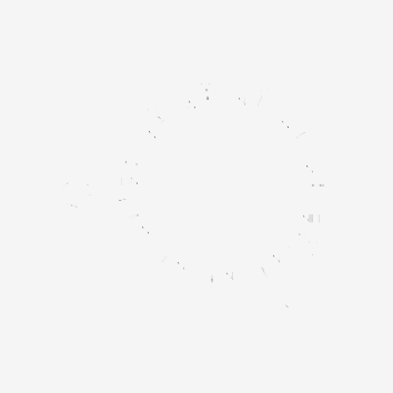 C/C=C/C[C@@H](C)[C@@H](O)[C@H]1C(=O)N[C@@H](CC)C(=O)N(C)CC(=O)N(C)[C@@H](CC(C)C)C(=O)N[C@@H](C(C)C)C(=O)N(C)[C@@H](CC(C)C)C(=O)N[C@@H](C)C(=O)N[C@H](C)C(=O)N(C)[C@@H](CC(C)C)C(=O)N(C)[C@@H](CC(C)C)C(=O)N(C)[C@@H](C(C)C)C(=O)N1C.CCC(O)c1ccccc1